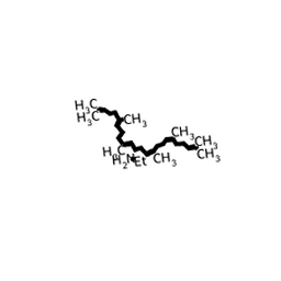 CC(C)=CCCC(C)=CCCC(C)=CCCC=C(C)CCC=C(C)CCC=C(C)C.CCN